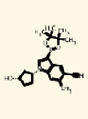 Cc1cc2c(cc1C#N)c(B1OC(C)(C)C(C)(C)O1)cn2[C@@H]1CC[C@H](O)C1